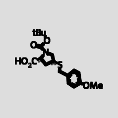 COc1ccc(CS[C@H]2C[C@@H](C(=O)O)N(C(=O)OC(C)(C)C)C2)cc1